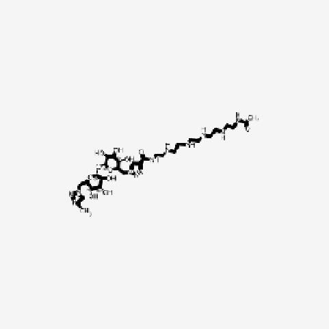 CC(=O)NCCNCCNCCNCCNCCNC(=O)c1cn(CC2O[C@@H](O[C@H]3OC(Cn4cc(C)nn4)[C@@H](O)[C@H](O)C3O)C(O)C(O)[C@H]2O)nn1